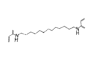 C=CC(=C)NCCCCCCCCCCCCCNC(=C)C=C